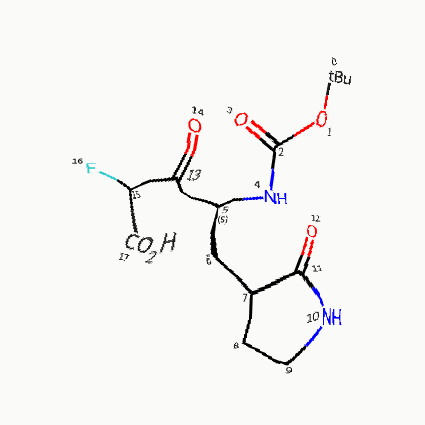 CC(C)(C)OC(=O)N[C@@H](CC1CCNC1=O)C(=O)C(F)C(=O)O